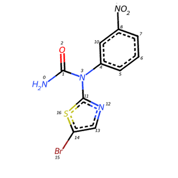 NC(=O)N(c1cccc([N+](=O)[O-])c1)c1ncc(Br)s1